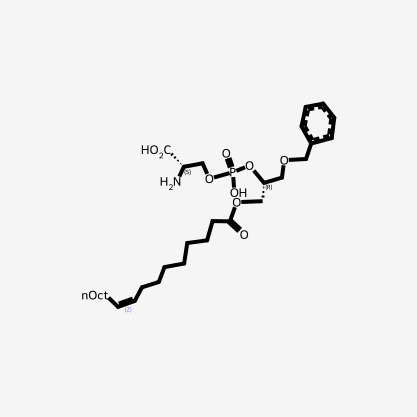 CCCCCCCC/C=C\CCCCCCCC(=O)OC[C@@H](COCc1ccccc1)OP(=O)(O)OC[C@H](N)C(=O)O